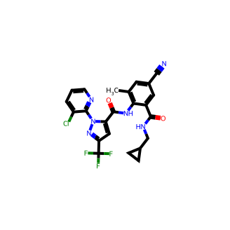 Cc1cc(C#N)cc(C(=O)NCC2CC2)c1NC(=O)c1cc(C(F)(F)F)nn1-c1ncccc1Cl